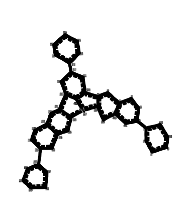 c1ccc(-c2ccc3cc4c5cc(-c6ccccc6)cc6c7cc8ccc(-c9ccccc9)cc8cc7n(c4cc3c2)c56)cc1